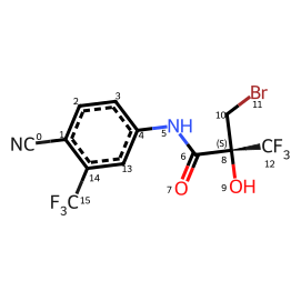 N#Cc1ccc(NC(=O)[C@@](O)(CBr)C(F)(F)F)cc1C(F)(F)F